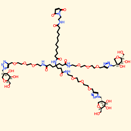 O=C(CCCCCCCCCCC(=O)NC(CCC(=O)NCCOCCOCCOCc1cn(C[C@H]2CO[C@H](CO)[C@H](O)[C@@H]2O)nn1)(CCC(=O)NCCOCCOCCOCc1cn(C[C@H]2CO[C@H](CO)[C@H](O)[C@@H]2O)nn1)CCC(=O)NCCOCCOCCOCc1cn(C[C@H]2CO[C@H](CO)[C@H](O)[C@@H]2O)nn1)NCCN1C(=O)C=CC1=O